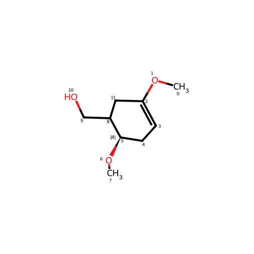 COC1=CC[C@@H](OC)C(CO)C1